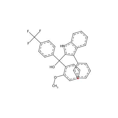 COc1ccccc1C(O)(c1ccc(C(F)(F)F)cc1)c1[nH]c2ccccc2c1-c1ccccc1